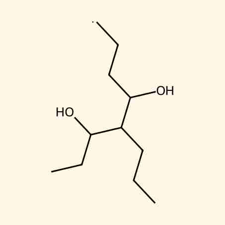 [CH2]CCC(O)C(CCC)C(O)CC